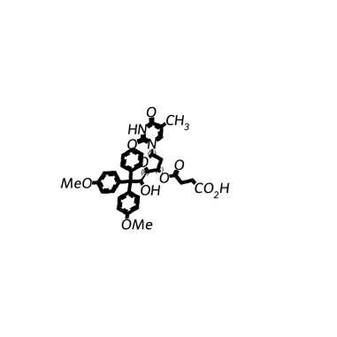 COc1ccc(C(c2ccccc2)(c2ccc(OC)cc2)C(O)[C@H]2O[C@@H](n3cc(C)c(=O)[nH]c3=O)C[C@@H]2OC(=O)CCC(=O)O)cc1